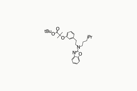 CC(C)CCCN(CCc1cccc(OC(C)(C)C(=O)OC(C)(C)C)c1)c1nc2ccccc2o1